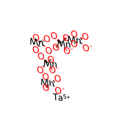 [O]=[Mn](=[O])(=[O])[O-].[O]=[Mn](=[O])(=[O])[O-].[O]=[Mn](=[O])(=[O])[O-].[O]=[Mn](=[O])(=[O])[O-].[O]=[Mn](=[O])(=[O])[O-].[Ta+5]